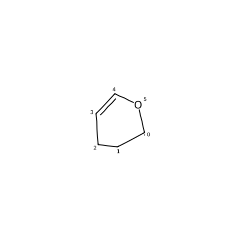 [CH]1CCC=CO1